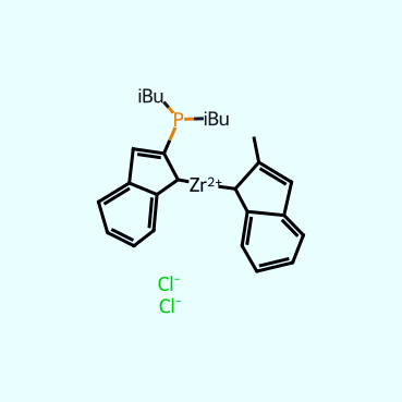 CCC(C)P(C1=Cc2ccccc2[CH]1[Zr+2][CH]1C(C)=Cc2ccccc21)C(C)CC.[Cl-].[Cl-]